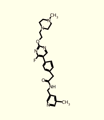 Cc1cncc(CNC(=O)Cc2ccc(-c3cnc(OCCN4CCN(C)CC4)nc3F)cc2)c1